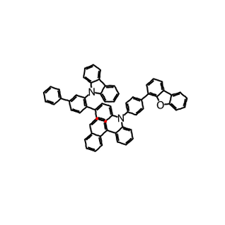 c1ccc(-c2ccc(-c3ccc(N(c4ccc(-c5cccc6c5oc5ccccc56)cc4)c4ccccc4-c4cccc5ccccc45)cc3)c(-n3c4ccccc4c4ccccc43)c2)cc1